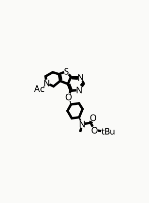 CC(=O)N1CCc2sc3ncnc(O[C@H]4CC[C@H](N(C)C(=O)OC(C)(C)C)CC4)c3c2C1